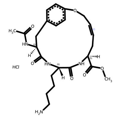 COC(=O)[C@@H]1C/C=C\COc2ccc(cc2)C[C@H](NC(C)=O)C(=O)N[C@@H](CCCCN)C(=O)N1.Cl